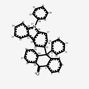 O=C1c2ccccc2C(c2ccccc2)(c2ccc3c(c2)c2ccccc2n3-c2ccccc2)c2ccccc21